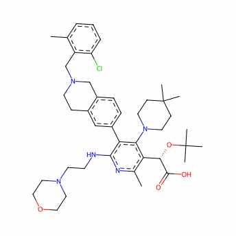 Cc1cccc(Cl)c1CN1CCc2cc(-c3c(NCCN4CCOCC4)nc(C)c([C@H](OC(C)(C)C)C(=O)O)c3N3CCC(C)(C)CC3)ccc2C1